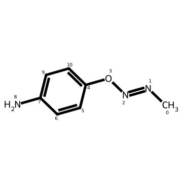 CN=NOc1ccc(N)cc1